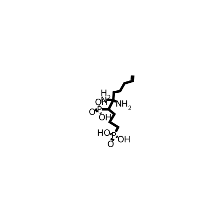 C=CCCCC(N)(N)C(CCCP(=O)(O)O)P(=O)(O)O